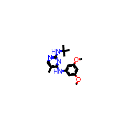 COc1cc(Nc2nc(NC(C)(C)C)ncc2C)cc(OC)c1